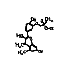 C=CP(=O)(COc1cc(C2=C(O)C(=C)c3c(C)cc(O)cc3O2)ccc1O)OCC